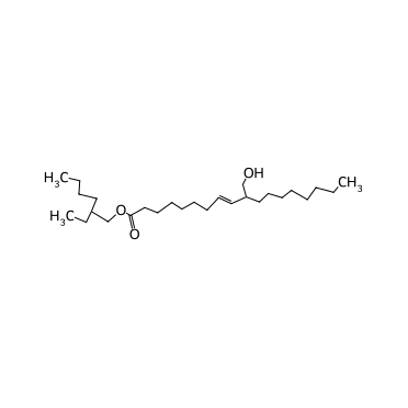 CCCCCCCCC(/C=C/CCCCCCC(=O)OCC(CC)CCCC)CO